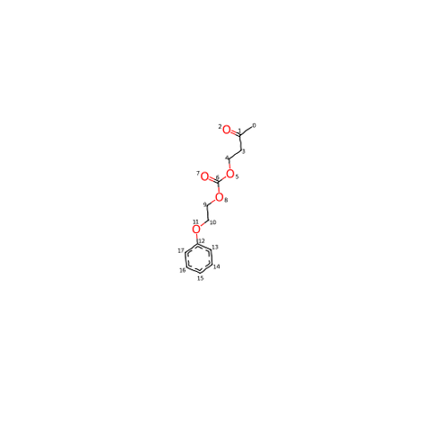 CC(=O)CCOC(=O)OCCOc1ccccc1